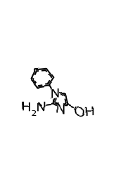 Nc1nc(O)cn1-c1ccccc1